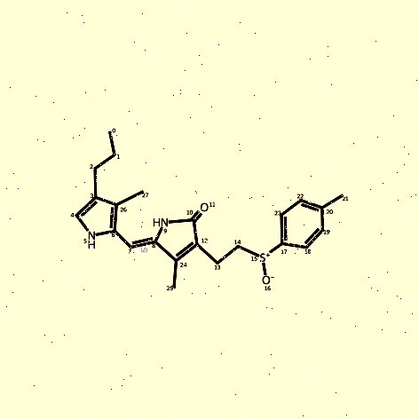 CCCc1c[nH]c(/C=C2\NC(=O)C(CC[S+]([O-])c3ccc(C)cc3)=C2C)c1C